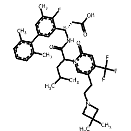 Cc1cc(-c2c(C)cccc2C)cc([C@H](CC(=O)O)NC(=O)C(CC(C)C)n2cc(CCN3CC(C)(C)C3)c(C(F)(F)F)cc2=O)c1F